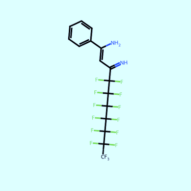 N=C(/C=C(\N)c1ccccc1)C(F)(F)C(F)(F)C(F)(F)C(F)(F)C(F)(F)C(F)(F)C(F)(F)F